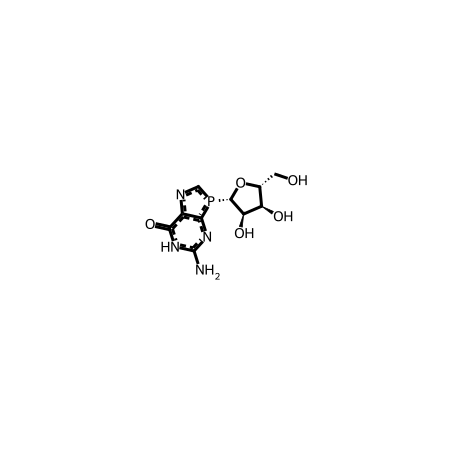 Nc1nc2c(ncp2[C@@H]2O[C@H](CO)[C@@H](O)[C@H]2O)c(=O)[nH]1